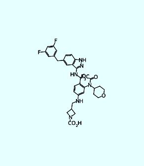 O=C(Nc1n[nH]c2ccc(Cc3cc(F)cc(F)c3)cc12)c1ccc(NCC2CN(C(=O)O)C2)cc1N(C(=O)C(F)(F)F)C1CCOCC1